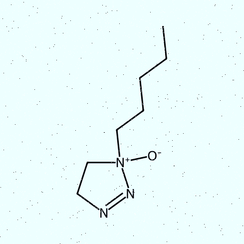 CCCCC[N+]1([O-])CCN=N1